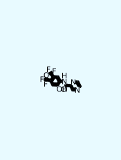 O=C(Nc1cc2c(cc1O)C(F)(F)OC2(F)F)c1cnccn1